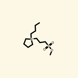 CCCC[N+]1(CCCS(=O)(=O)OC)CCCC1